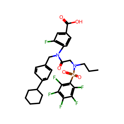 CCCN(CC(=O)N(Cc1ccc(C2CCCCC2)cc1)c1ccc(C(=O)O)cc1F)S(=O)(=O)c1c(F)c(F)c(F)c(F)c1F